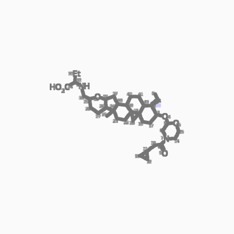 C/C=C1/C(OC2CN(C(=O)CC3CC3)CCO2)CCC23CC24CCC2(C)C5CCC(CNC(CC)C(=O)O)OC5CC2C4CCC13